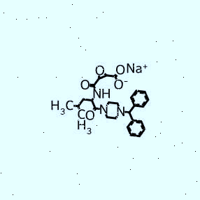 CC(C)CC(NC(=O)C1OC1C(=O)[O-])C(=O)N1CCN(C(c2ccccc2)c2ccccc2)CC1.[Na+]